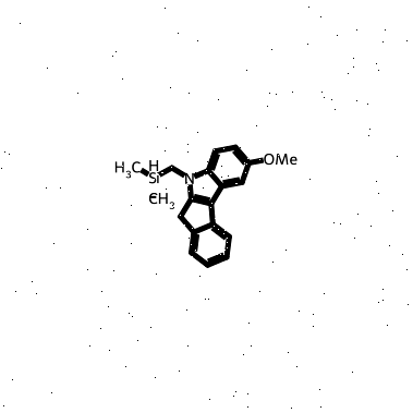 COc1ccc2c(c1)c1c(n2C[SiH](C)C)Cc2ccccc2-1